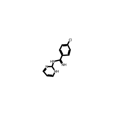 N=C(NC1N=CC=CN1)c1ccc(Cl)cc1